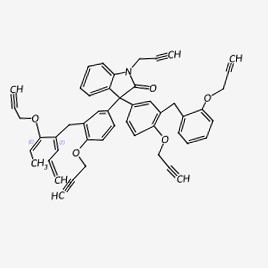 C#CCOC(=C/C)/C(=C\C=C)Cc1cc(C2(c3ccc(OCC#C)c(Cc4ccccc4OCC#C)c3)C(=O)N(CC#C)c3ccccc32)ccc1OCC#C